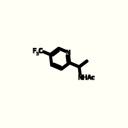 CC(=O)NC(C)c1ccc(C(F)(F)F)cn1